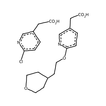 O=C(O)Cc1ccc(Cl)nc1.O=C(O)Cc1ccc(OCCC2CCOCC2)nc1